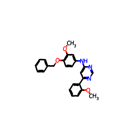 COc1cc(Nc2cc(-c3ccccc3OC)ncn2)ccc1OCc1ccccc1